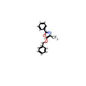 FC(F)(F)c1nc(-c2ccccc2)oc1OCc1ccccc1